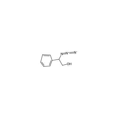 [N-]=[N+]=NC(CO)c1ccccc1